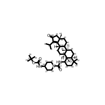 CC(C)C1=C2[C@H]3CC[C@@H]4[C@@]5(C)C(NC(=O)N6CCC(NC(=O)OC(C)(C)C)CC6)CCC(C)(C)[C@@H]5CC[C@@]4(C)[C@]3(C)CC[C@@]2(C)CC1=O